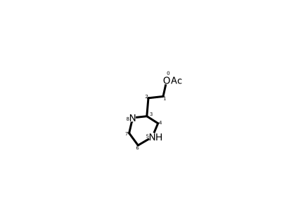 CC(=O)OCCC1CNCC[N]1